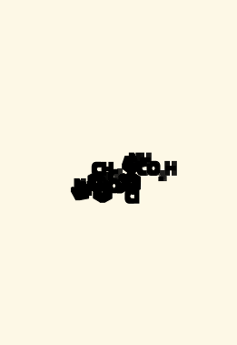 Cc1cc(-n2cccn2)c2cccc(OCc3c(Cl)ccc(-c4cc[nH]c4C(=O)O)c3Cl)c2n1